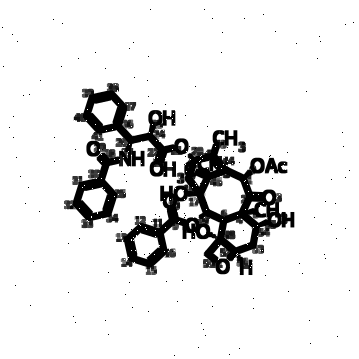 CC(=O)O[C@H]1C(=O)[C@@]2(C)C([C@H](OC(=O)c3ccccc3)[C@]3(O)C[C@H](OC(=O)[C@H](O)[C@@H](NC(=O)c4ccccc4)c4ccccc4)C(C)=C1C3(C)C)[C@]1(O)CO[C@@H]1C[C@@H]2O